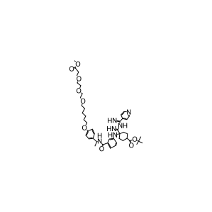 COC(=O)CCOCCOCCOCCCCCCOc1ccc(C(C)NC(=O)c2cccc(NC3(C(=N)NC(=N)c4ccncc4)CCC(C(=O)OC(C)(C)C)CC3)c2)cc1